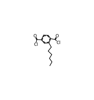 CCCCCCc1cc(C(=O)Cl)ccc1C(=O)Cl